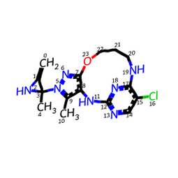 C=C1NC1(C)n1nc2c(c1C)Nc1ncc(Cl)c(n1)NCCCO2